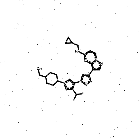 OCC1CCC(n2cc(-n3cc(-c4cnn5ccc(NCC6CC6)nc45)nn3)c(C(F)F)n2)CC1